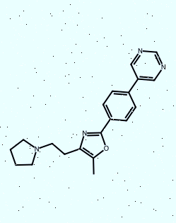 Cc1oc(-c2ccc(-c3cncnc3)cc2)nc1CCN1CCCC1